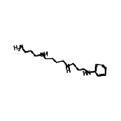 NCCCNCCCCNCCCNc1ccccc1